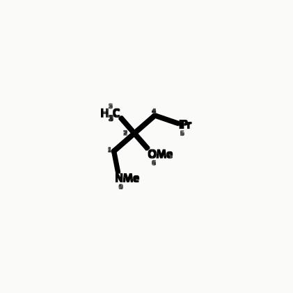 CNCC(C)(CC(C)C)OC